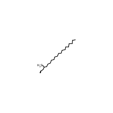 C=CCC([SiH3])CCCCCCCCCCCCCCCCC